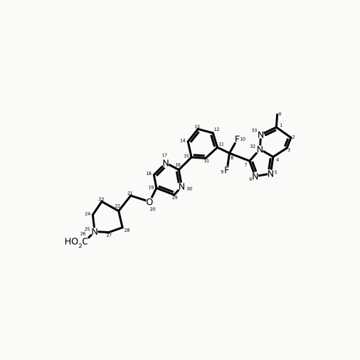 Cc1ccc2nnc(C(F)(F)c3cccc(-c4ncc(OCC5CCN(C(=O)O)CC5)cn4)c3)n2n1